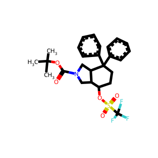 CC(C)(C)OC(=O)N1CC2C(OS(=O)(=O)C(F)(F)F)CCC(c3ccccc3)(c3ccccc3)C2C1